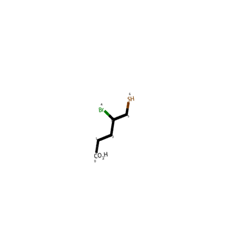 O=C(O)CCC(Br)CS